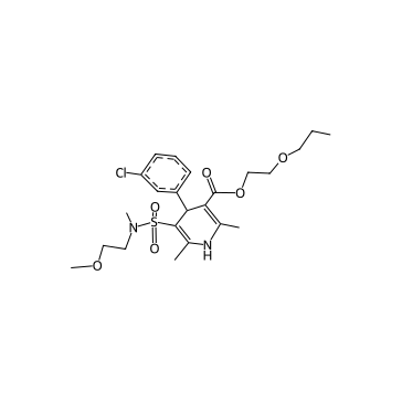 CCCOCCOC(=O)C1=C(C)NC(C)=C(S(=O)(=O)N(C)CCOC)C1c1cccc(Cl)c1